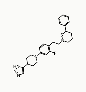 Fc1cc(N2CCC(c3cnn[nH]3)CC2)ccc1CCN1CCCC(c2ccccc2)S1